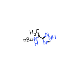 C=C(NCCCC)c1nc[nH]n1